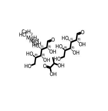 CC(O)C(=O)O.Cl.O=C[C@H](O)[C@@H](O)[C@H](O)[C@H](O)CO.O=C[C@H](O)[C@@H](O)[C@H](O)[C@H](O)CO.[CaH2].[MgH2].[NaH].[NaH]